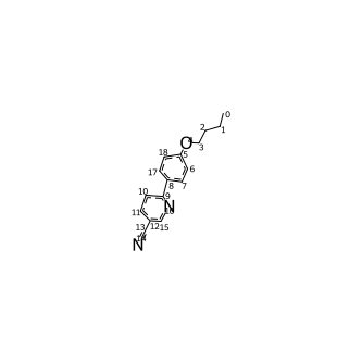 CCCCOc1ccc(-c2ccc(C#N)cn2)cc1